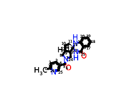 Cc1ccc(C(=O)N2C[C@H]3CC[C@]4(NC(=O)c5ccccc5N4)[C@H]3C2)cn1